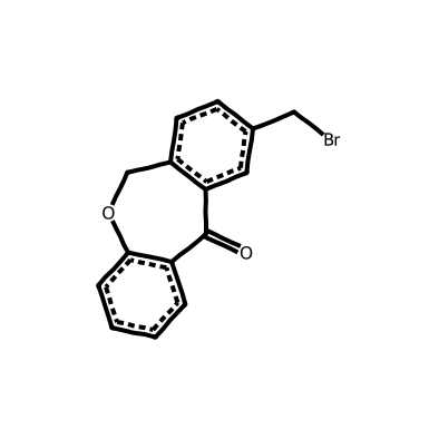 O=C1c2cc(CBr)ccc2COc2ccccc21